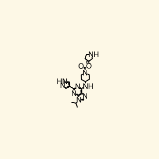 CC(C)n1cnc2c(NC3CCN(C(=O)O[C@H]4CCNC4)CC3)nc(-c3cn[nH]c3)nc21